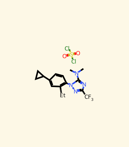 CCc1cc(C2CC2)ccc1-n1nc(C(F)(F)F)nc1N(C)C.O=S(=O)(Cl)Cl